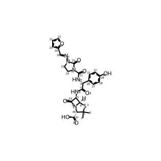 CC1(C)S[C@@H]2[C@H](NC(=O)[C@H](NC(=O)N3CCN(/N=C/c4ccco4)C3=O)c3ccc(O)cc3)C(=O)N2[C@H]1C(=O)O